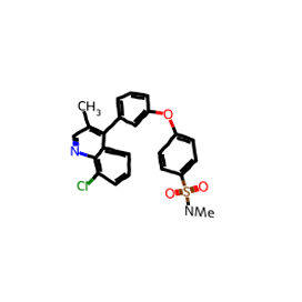 CNS(=O)(=O)c1ccc(Oc2cccc(-c3c(C)cnc4c(Cl)cccc34)c2)cc1